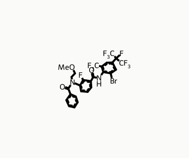 COCCN(C(=O)c1ccccc1)c1cccc(C(=O)Nc2c(Br)cc(C(F)(C(F)(F)F)C(F)(F)F)cc2C(F)(F)F)c1F